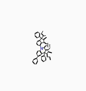 C=C/C=C(\C=C)C1(c2ccccc2)C(=C/C)/C(=C\CC)N(c2cccc3c2/C(=C/C)C(=C)C3(/C(C)=C/C)c2ccccc2)c2ccc(-c3ccccc3)cc21